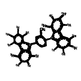 [2H]c1c([2H])c([2H])c2c(c1[2H])c1c([2H])c([2H])c([2H])c([2H])c1n2-c1ccc(-n2c3c([2H])c([2H])c([2H])c([2H])c3c3c([2H])c([2H])c([2H])c([2H])c32)c(C#N)c1